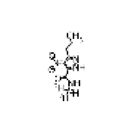 [2H]C([2H])([2H])NC(=O)c1[nH]nc(CCC)c1[N+](=O)[O-]